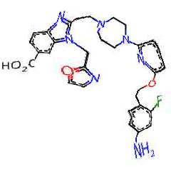 Nc1ccc(COc2cccc(N3CCN(Cc4nc5ccc(C(=O)O)cc5n4Cc4ncco4)CC3)n2)c(F)c1